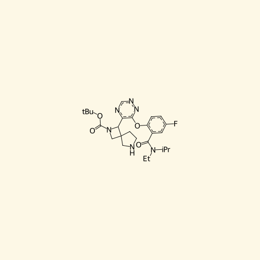 CCN(C(=O)c1cc(F)ccc1Oc1nncnc1C1N(C(=O)OC(C)(C)C)CC12CCNC2)C(C)C